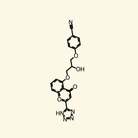 N#Cc1ccc(OCC(O)COc2cccc3oc(-c4nnn[nH]4)cc(=O)c23)cc1